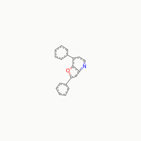 c1ccc(-c2cc3nccc(-c4ccccc4)c3o2)cc1